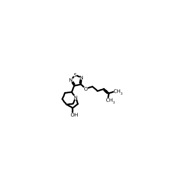 CC(C)=CCCOc1nsnc1C1CCC2CN1CC2O